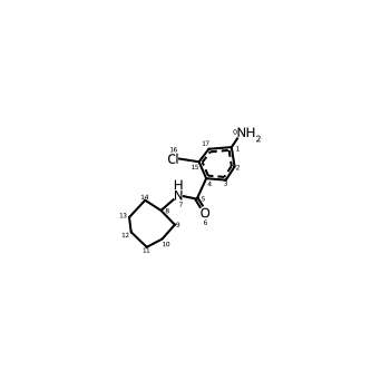 Nc1ccc(C(=O)NC2CCCCCC2)c(Cl)c1